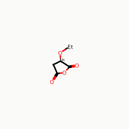 CCO[C@@H]1CC(=O)OC1=O